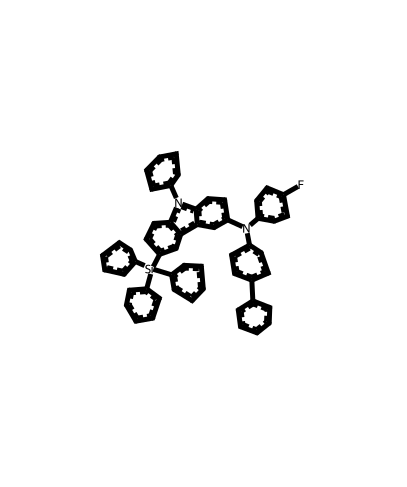 Fc1ccc(N(c2ccc(-c3ccccc3)cc2)c2ccc3c(c2)c2cc([Si](c4ccccc4)(c4ccccc4)c4ccccc4)ccc2n3-c2ccccc2)cc1